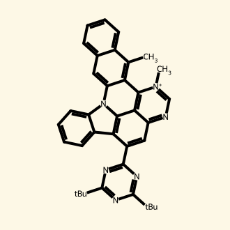 Cc1c2ccccc2cc2c1c1c3c(cc(-c4nc(C(C)(C)C)nc(C(C)(C)C)n4)c4c5ccccc5n2c43)nc[n+]1C